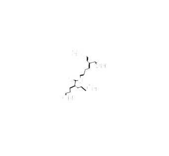 C=CC/C=C(\CC=CC)C(=O)O/C=C/C/C=C(\C=CC)CO